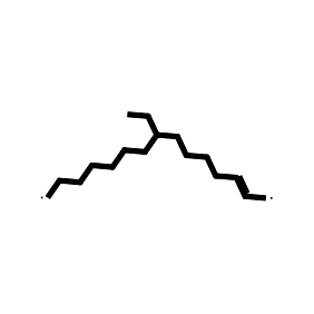 [CH2]C=CCCCCC(CC)CCCCCC[CH2]